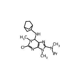 CC(C)N(C)c1nc2c(n1C)N=C(Cl)N(C)C2NC1CC2CCC1C2